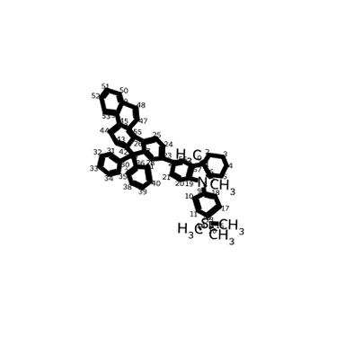 CC12CCCCC1(C)N(c1ccc([Si](C)(C)C)cc1)c1ccc(-c3ccc4c(c3)C(c3ccccc3)(c3ccccc3)c3ccc5c(ccc6ccccc65)c3-4)cc12